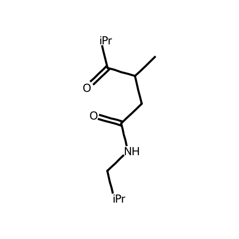 CC(C)CNC(=O)CC(C)C(=O)C(C)C